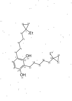 CCC1(CCCCCc2ccc(O)c(CCCCCC3(I)CC3)c2O)CC1